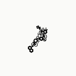 COc1cc(F)c(OC2CCC(C)(C(=O)OCc3cccc4ccccc34)CC2)cc1C(=O)Nc1ccc(C)cc1C(=O)NCC1(C)CCC1